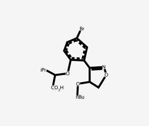 CCCCOC1CON=C1c1cc(Br)ccc1OC(C(=O)O)C(C)C